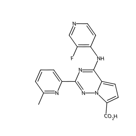 Cc1cccc(-c2nc(Nc3ccncc3F)c3ccc(C(=O)O)n3n2)n1